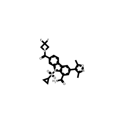 Cc1noc(C)c1-c1cc(C(N)=O)c2c(c1)c1ccc(C(=O)N3CC(F)(F)C3)cc1n2S(=O)(=O)C1CC1